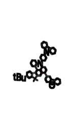 CC(C)(C)c1ccc2c(c1)C(C)(C)c1cccc(-c3ccccc3N(c3ccc(-c4ccc5oc6ccccc6c5c4)cc3)c3ccc(-n4c5ccccc5c5ccccc54)cc3)c1-2